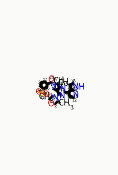 C[C@@H]1COCCN1c1nc(-c2ccnc3[nH]ccc23)nc2c1CN(C(=O)c1cccc(S(C)(=O)=O)c1)C2(C)C